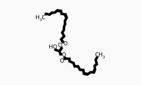 CCCCC/C=C\C/C=C\CCCCCCCC(=O)OCC(CO)COC(=O)CCCCCCC/C=C\C/C=C\CCCCC